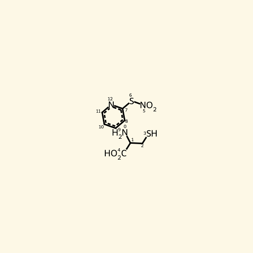 NC(CS)C(=O)O.O=[N+]([O-])Sc1ccccn1